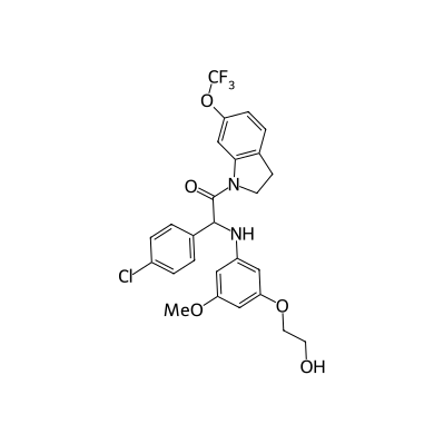 COc1cc(NC(C(=O)N2CCc3ccc(OC(F)(F)F)cc32)c2ccc(Cl)cc2)cc(OCCO)c1